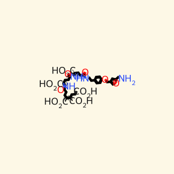 NCc1cc(COc2ccc(CCNC(=O)CC[C@H](NC(=O)CC[C@H](NC(=O)CC[C@H](C(=O)O)[C@@H](CCC(=O)O)C(=O)O)C(=O)O)C(=O)O)cc2)co1